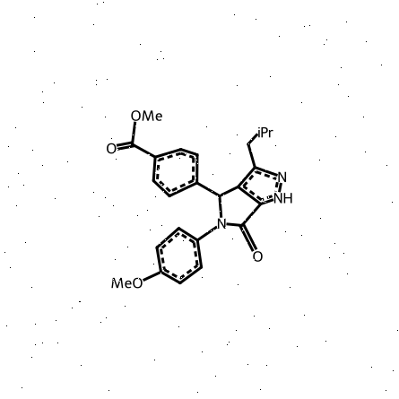 COC(=O)c1ccc(C2c3c(CC(C)C)n[nH]c3C(=O)N2c2ccc(OC)cc2)cc1